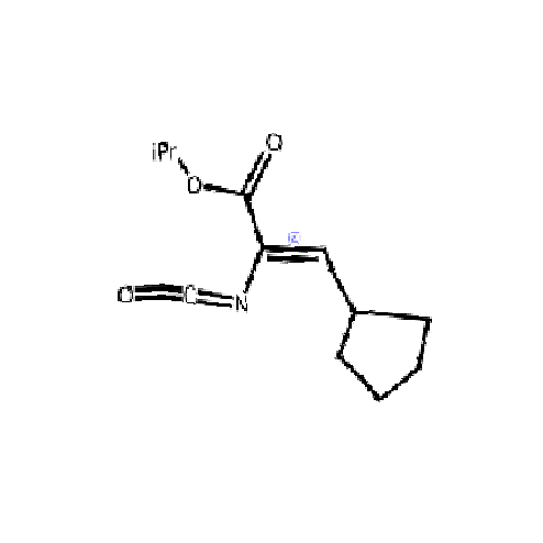 CC(C)OC(=O)/C(=C/C1CCCC1)N=C=O